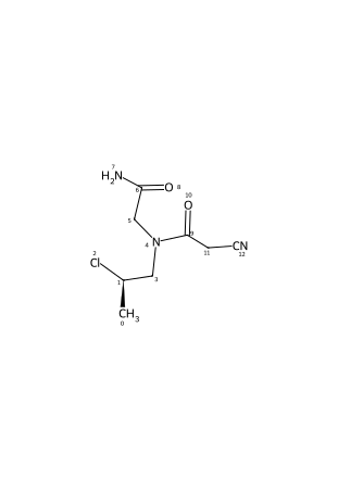 C[C@@H](Cl)CN(CC(N)=O)C(=O)CC#N